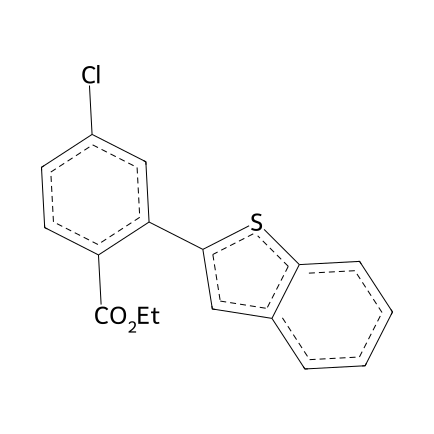 CCOC(=O)c1ccc(Cl)cc1-c1cc2ccccc2s1